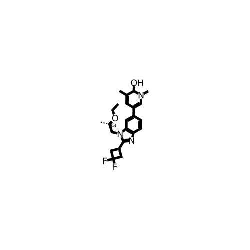 CCO[C@@H](C)Cn1c(C2CC(F)(F)C2)nc2ccc(C3=CN(C)C(O)C(C)=C3)cc21